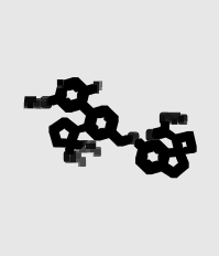 COC(=O)[C@H]1CC[C@]12CCc1ccc(OCc3ccc(-c4cc(OC)ncc4F)c([C@@H]4CCCC4(C)C)c3)cc12